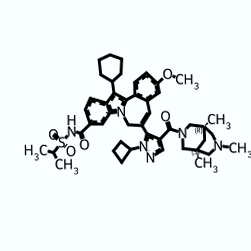 COc1ccc2c(c1)C=C(c1c(C(=O)N3C[C@]4(C)CN(C)C[C@](C)(C3)C4)cnn1C1CCC1)Cn1c-2c(C2CCCCC2)c2ccc(C(=O)NS(=O)(=O)C(C)C)cc21